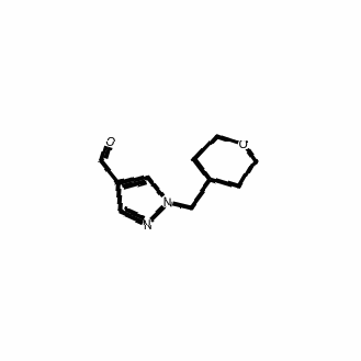 O=Cc1cnn(CC2CCOCC2)c1